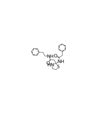 O=C(CC1(NC(=O)Cc2ccccc2)NCCS1)NCCc1ccccc1